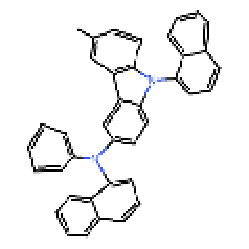 Cc1ccc2c(c1)c1cc(N(c3ccccc3)c3cccc4ccccc34)ccc1n2-c1cccc2ccccc12